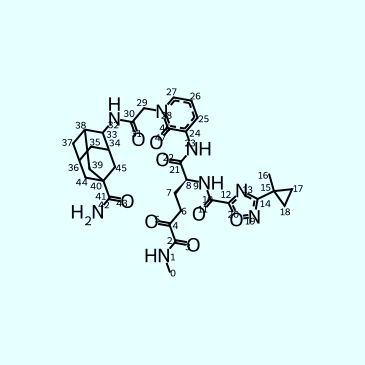 CNC(=O)C(=O)CC[C@H](NC(=O)c1nc(C2(C)CC2)no1)C(=O)Nc1cccn(CC(=O)NC2C3CC4CC2CC(C(N)=O)(C4)C3)c1=O